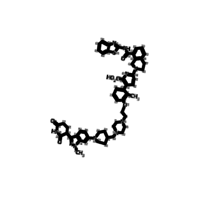 Cc1c(OCCN2CCN(CC3CCN(c4ccc5c(C6CCC(=O)NC6=O)nn(C)c5c4)CC3)CC2)cccc1-c1ccc(N2CCc3cccc(C(=O)Nc4nc5ccccc5s4)c3C2)nc1C(=O)O